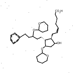 O=C(O)CCC/C=C\C[C@@H]1[C@@H](CCC(CCc2ccccc2)OC2CCCCO2)[C@H](OC2CCCCO2)C[C@@H]1O